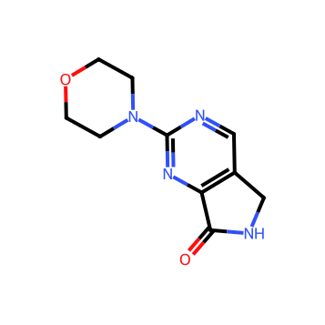 O=C1NCc2cnc(N3CCOCC3)nc21